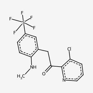 CNc1ccc(S(F)(F)(F)(F)F)cc1CC(=O)c1ncccc1Cl